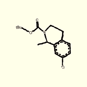 CC1c2cc(Cl)ccc2CCN1C(=O)OC(C)(C)C